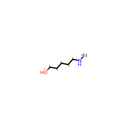 CCNCCCCCO